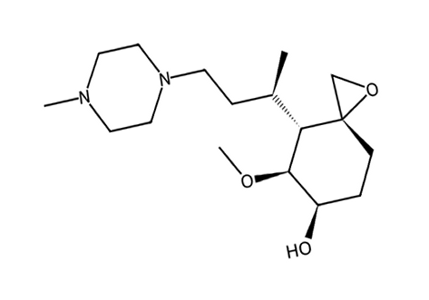 CO[C@H]1[C@H]([C@H](C)CCN2CCN(C)CC2)[C@]2(CC[C@H]1O)CO2